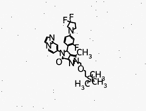 Cc1c2c(nn1COCC[Si](C)(C)C)C(=O)N(c1ccn3ccnc3c1)C2c1ccc(N2CCC(F)(F)C2)cc1F